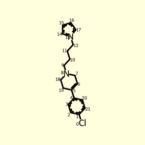 Clc1ccc(C2=CCN(CCCCn3cccc3)CC2)cc1